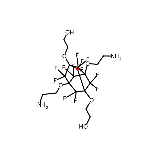 NCCOC12C(F)(F)C3(OCCN)C(F)(F)C(OCCO)(C1(F)F)C(F)(F)C(OCCO)(C2(F)F)C3(F)F